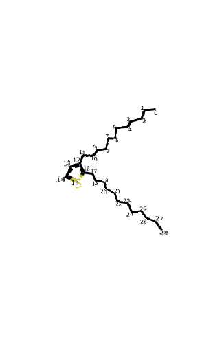 CCCCCCCCCCCCc1ccsc1CCCCCCCCCCCC